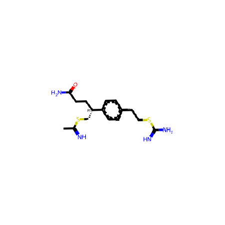 CC(=N)SC[C@H](CCC(N)=O)c1ccc(CCSC(=N)N)cc1